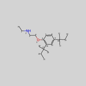 CCNCCOc1ccc(C(C)(C)CC)cc1C(C)(C)CC